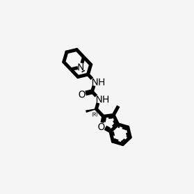 Cc1c([C@@H](C)NC(=O)NC2CC3CCCC(C2)N3C)oc2ccccc12